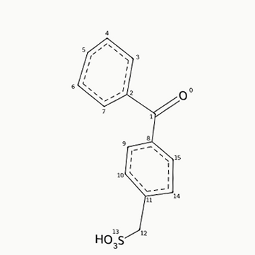 O=C(c1ccccc1)c1ccc(CS(=O)(=O)O)cc1